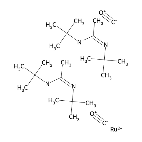 CC(=NC(C)(C)C)[N-]C(C)(C)C.CC(=NC(C)(C)C)[N-]C(C)(C)C.[C-]#[O+].[C-]#[O+].[Ru+2]